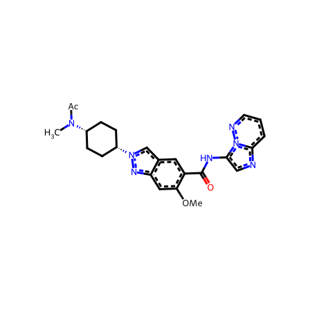 COc1cc2nn([C@H]3CC[C@@H](N(C)C(C)=O)CC3)cc2cc1C(=O)Nc1cnc2cccnn12